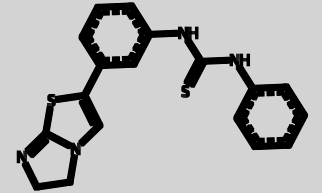 S=C(Nc1ccccc1)Nc1cccc(C2=CN3CCN=C3S2)c1